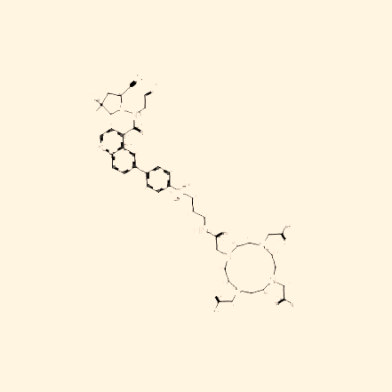 N#CC1CC(F)(F)CN1N(CC=O)C(=O)c1ccnc2ccc(-c3ccc(S(=O)(=O)CCCNC(=O)CN4CCN(CC(=O)O)CCN(CC(=O)O)CCN(CC(=O)O)CC4)cc3)cc12